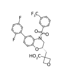 O=C(O)C1(C[C@H]2CN(S(=O)(=O)c3cccc(C(F)(F)F)c3)c3cc(-c4cc(F)ccc4F)ccc3O2)COC1